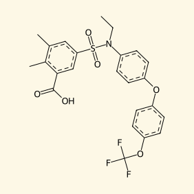 CCN(c1ccc(Oc2ccc(OC(F)(F)F)cc2)cc1)S(=O)(=O)c1cc(C)c(C)c(C(=O)O)c1